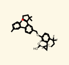 Cc1ccc(F)c(-c2ccc(COc3ccc4c(c3F)[C@@]3(CCC4(F)F)C[C@H]3C(=O)O)cc2C2=CCCC2(C)C)c1